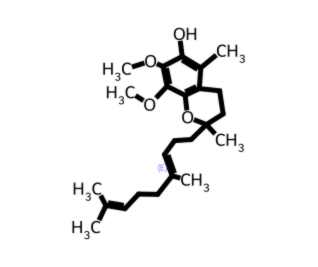 COc1c(O)c(C)c2c(c1OC)OC(C)(CC/C=C(\C)CCC=C(C)C)CC2